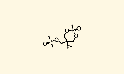 CCC1(COP(C)(C)=O)COP(C)(=O)OC1